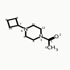 CC(=O)N1CCN(C2CCC2)CC1